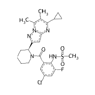 Cc1c(C2CC2)nc2cc([C@@H]3CCCCN3C(=O)c3cc(Cl)cc(F)c3NS(C)(=O)=O)nn2c1C